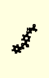 O=C(I)NCCN1CCN(C(=O)OCc2ccccc2)CC1